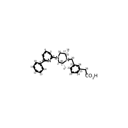 C[C@@H]1CN(c2cccc(-c3ccccc3)n2)C[C@H](C)N1Cc1cccc(CC(=O)O)c1